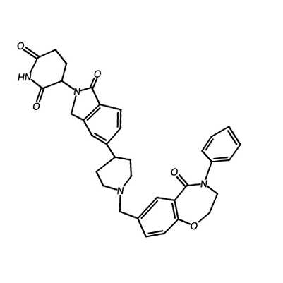 O=C1CCC(N2Cc3cc(C4CCN(Cc5ccc6c(c5)C(=O)N(c5ccccc5)CCO6)CC4)ccc3C2=O)C(=O)N1